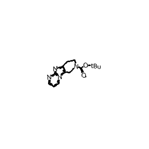 CC(C)(C)OC(=O)N1CCc2nc3ncccn3c2C1